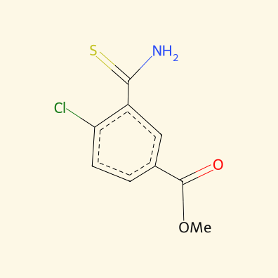 COC(=O)c1ccc(Cl)c(C(N)=S)c1